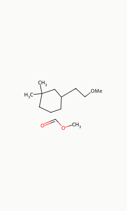 COC=O.COCCC1CCCC(C)(C)C1